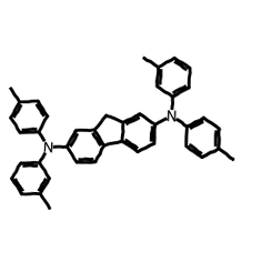 Cc1ccc(N(c2cccc(C)c2)c2ccc3c(c2)Cc2cc(N(c4ccc(C)cc4)c4cccc(C)c4)ccc2-3)cc1